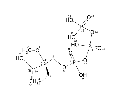 CO[C@](CF)(COP(=O)(O)OP(=O)(O)OP(=O)(O)O)[C@H](C)O